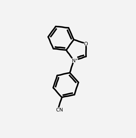 N#Cc1ccc(-[n+]2coc3ccccc32)cc1